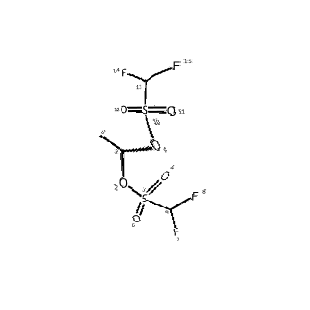 CC(OS(=O)(=O)C(F)F)OS(=O)(=O)C(F)F